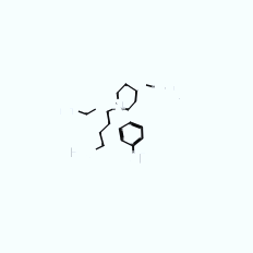 CC(C)CC[C@@H](CCCC(F)(F)F)N1CC[C@H](CC(=O)O)C[C@@H]1c1ccc(C(F)(F)F)cc1